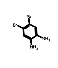 Nc1cc(Br)c(Br)cc1N